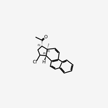 CC(=O)[C@H]1CC(Cl)[C@H]2c3ccc4ccccc4c3C=C[C@]12C